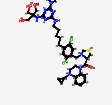 CN(C)c1nc(NCCCCCc2cc(Cl)c(CN3CSC[C@H]3C(=O)N3CCN(C4CC4)c4ccccc43)cc2Cl)nc(NC(CO)(CO)CO)n1